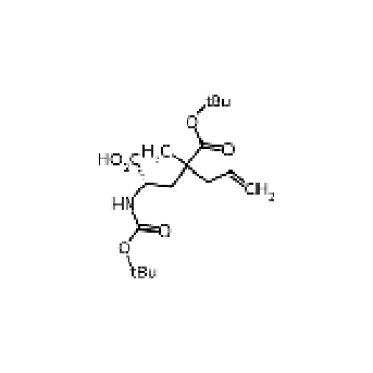 C=CCC(C)(C[C@H](NC(=O)OC(C)(C)C)C(=O)O)C(=O)OC(C)(C)C